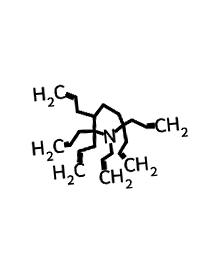 C=CCC1CCC(CC=C)(CC=C)N(CC=C)C1(CC=C)CC=C